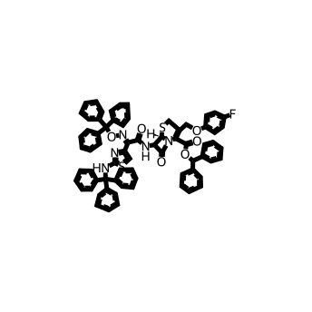 O=C(OC(c1ccccc1)c1ccccc1)C1=C(COc2ccc(F)cc2)CS[C@@H]2C(NC(=O)/C(=N/OC(c3ccccc3)(c3ccccc3)c3ccccc3)c3csc(NC(c4ccccc4)(c4ccccc4)c4ccccc4)n3)C(=O)N12